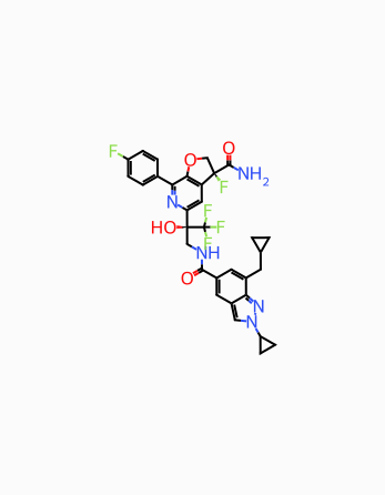 NC(=O)[C@@]1(F)COc2c1cc([C@@](O)(CNC(=O)c1cc(CC3CC3)c3nn(C4CC4)cc3c1)C(F)(F)F)nc2-c1ccc(F)cc1